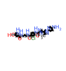 Cn1c(-c2cn(-c3ccc(N)cn3)nc2C(F)(F)F)cnc1C(=O)Nc1ccc(C(=O)NCCCNC(=O)[C@@H]2C[C@@H](O)CN2)c(Cl)c1